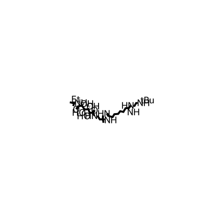 CCC(C)(C)NC(=O)[C@@H](O)[C@H](O)[C@H](O)[C@@H](O)C(=O)NCCC(C)(C)NC(=N)CCCCCCC(=N)NCCNC(C)(C)C